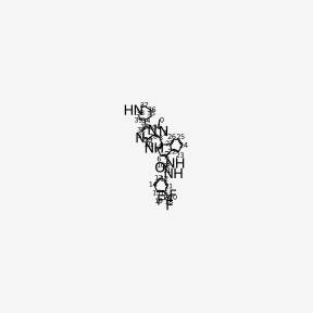 Cc1nc(-c2ccc(NC(=O)Nc3cccc(C(F)(F)F)c3)c3ccccc23)c2c(N)ncc(C3CCCNC3)n12